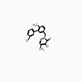 Cc1ccc(Cn2ncc(C)c(Cl)c2=O)cc1-c1cccc(Cl)c1